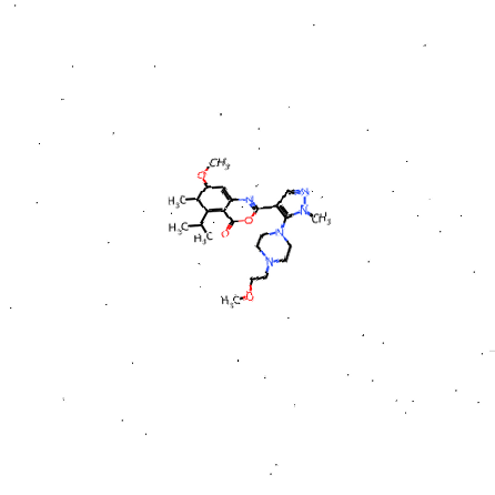 COCCN1CCN(c2c(-c3nc4c(c(=O)o3)=C(C(C)C)C(C)C(OC)C=4)cnn2C)CC1